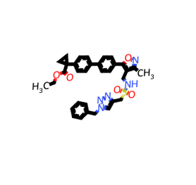 CCOC(=O)C1(c2ccc(-c3ccc(-c4onc(C)c4CNS(=O)(=O)Cc4cn(Cc5ccccc5)nn4)cc3)cc2)CC1